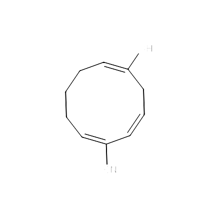 N#CC1=C/CCC/C=C(/O)C/C=C\1